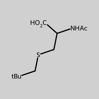 CC(=O)NC(CSCC(C)(C)C)C(=O)O